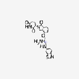 N/C(=C\Nc1ccc2ncsc2c1)COc1cccc2c1CN(C1CCC(=O)NC1=O)C2=O